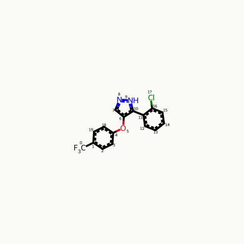 FC(F)(F)c1ccc(Oc2cn[nH]c2-c2ccccc2Cl)cc1